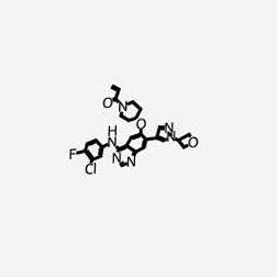 C=CC(=O)N1CCC(Oc2cc3c(Nc4ccc(F)c(Cl)c4)ncnc3cc2-c2cnn(C3COC3)c2)CC1